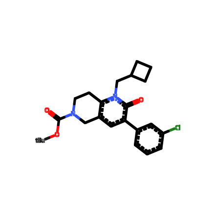 CC(C)(C)OC(=O)N1CCc2c(cc(-c3cccc(Cl)c3)c(=O)n2CC2CCC2)C1